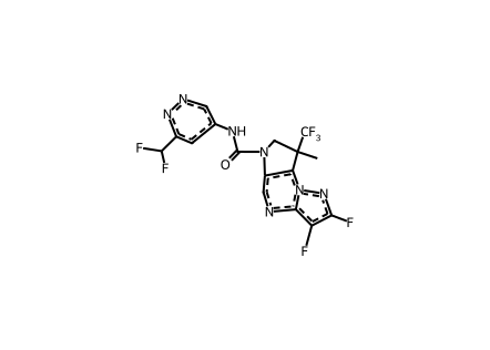 CC1(C(F)(F)F)CN(C(=O)Nc2cnnc(C(F)F)c2)c2cnc3c(F)c(F)nn3c21